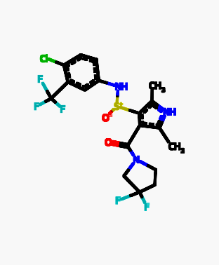 Cc1[nH]c(C)c([S+]([O-])Nc2ccc(Cl)c(C(F)(F)F)c2)c1C(=O)N1CCC(F)(F)C1